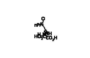 CCCN(CCCCCC1=C(C)NC(N)(C(=CC(=O)O)C(=O)O)S1)CCc1ccccc1